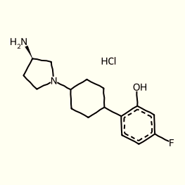 Cl.N[C@@H]1CCN(C2CCC(c3ccc(F)cc3O)CC2)C1